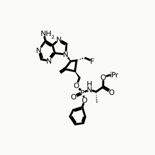 C=C1[C@@H](n2cnc3c(N)ncnc32)[C@H](CF)[C@H]1COP(=O)(N[C@@H](C)C(=O)OC(C)C)Oc1ccccc1